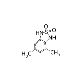 Cc1cc(C)c2c(c1)NS(=O)(=O)N2